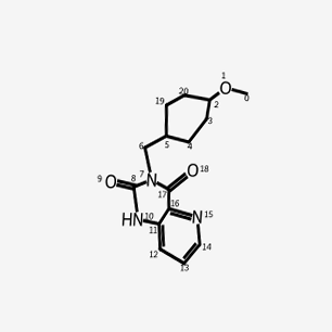 COC1CCC(Cn2c(=O)[nH]c3cccnc3c2=O)CC1